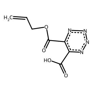 C=CCOC(=O)c1nnnnc1C(=O)O